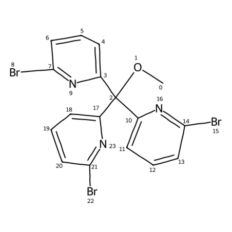 COC(c1cccc(Br)n1)(c1cccc(Br)n1)c1cccc(Br)n1